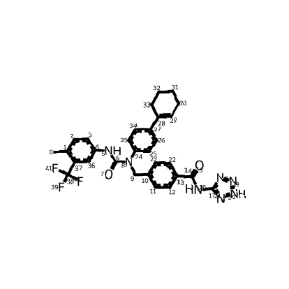 Cc1ccc(NC(=O)N(Cc2ccc(C(=O)Nc3nn[nH]n3)cc2)c2ccc(C3=CCCCC3)cc2)cc1C(F)(F)F